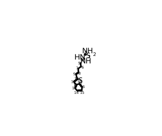 NC(=S)NNCCCC=Cc1cc2ccccc2s1